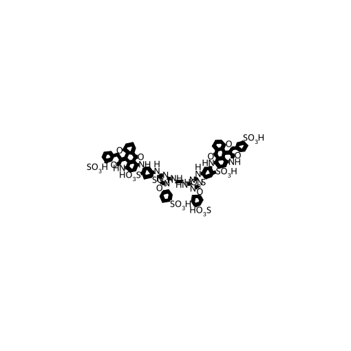 O=C(c1cccc(S(=O)(=O)O)c1)c1c2c3c(c(Nc4cc(Nc5nc(NCCNc6nc(Nc7cc(Nc8ccc9[nH]c(=O)c(C(=O)c%10cccc(S(=O)(=O)O)c%10)c%10c9c8C(=O)c8ccccc8-%10)c(S(=O)(=O)O)cc7S(=O)(=O)O)nc(Oc7ccc(S(=O)(=O)O)cc7)n6)nc(Oc6ccc(S(=O)(=O)O)cc6)n5)c(S(=O)(=O)O)cc4S(=O)(=O)O)ccc3[nH]c1=O)C(=O)c1ccccc1-2